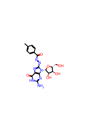 Cc1ccc(C(=O)/N=N/c2nc3c(=O)[nH]c(N)nc3n2[C@@H]2O[C@H](CO)[C@@H](O)[C@H]2O)cc1